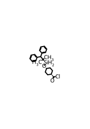 CC(C)([SiH2]O[C@H]1CC[C@H](C(=O)Cl)CC1)C(c1ccccc1)c1ccccc1